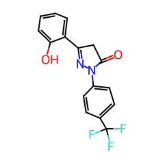 O=C1CC(c2ccccc2O)=NN1c1ccc(C(F)(F)F)cc1